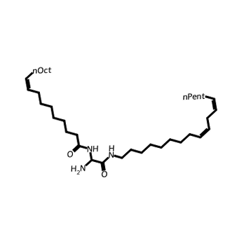 CCCCC/C=C\C/C=C\CCCCCCCCNC(=O)C(N)NC(=O)CCCCCCC/C=C\CCCCCCCC